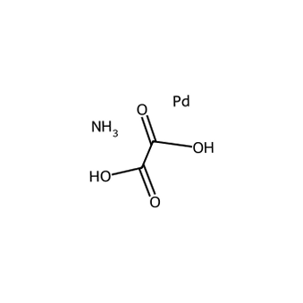 N.O=C(O)C(=O)O.[Pd]